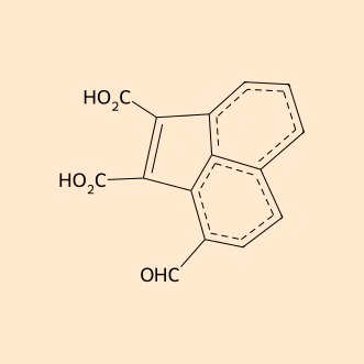 O=Cc1ccc2cccc3c2c1C(C(=O)O)=C3C(=O)O